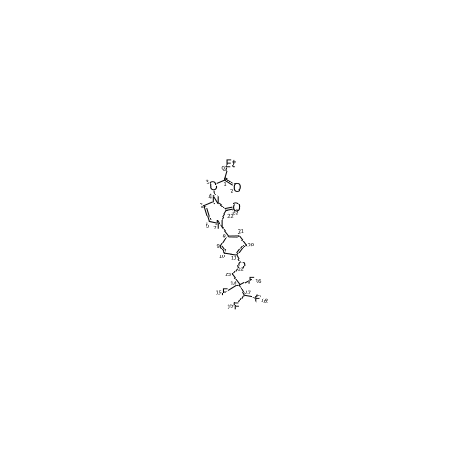 CCC(=O)On1ccn(-c2ccc(OCC(F)(F)C(F)F)cc2)c1=O